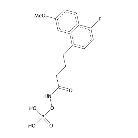 COc1ccc2c(F)ccc(CCCC(=O)NOP(=O)(O)O)c2c1